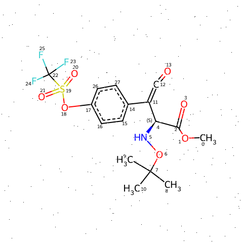 COC(=O)[C@@H](NOC(C)(C)C)C(=C=O)c1ccc(OS(=O)(=O)C(F)(F)F)cc1